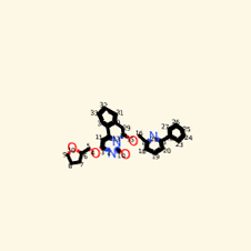 O=c1nc(OCC2CCCO2)cc2n1C(OCc1cccc(-c3ccccc3)n1)Cc1ccccc1-2